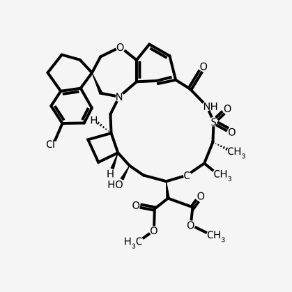 COC(=O)C(C(=O)OC)[C@@H]1CC(C)[C@@H](C)S(=O)(=O)NC(=O)c2ccc3c(c2)N(C[C@@H]2CC[C@H]2[C@H](O)C1)C[C@@]1(CCCc2cc(Cl)ccc21)CO3